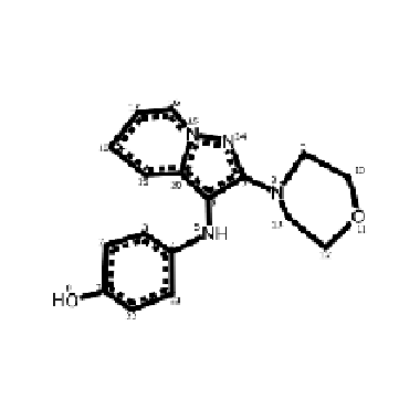 Oc1ccc(Nc2c(N3CCOCC3)nn3ccccc23)cc1